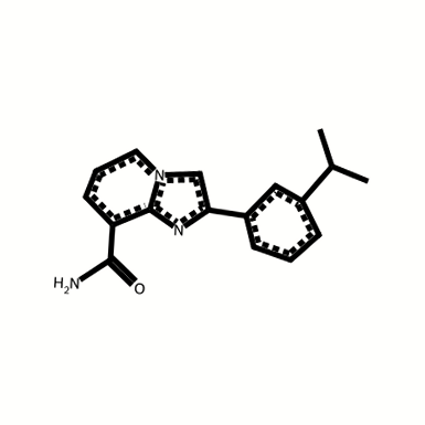 CC(C)c1cccc(-c2cn3cccc(C(N)=O)c3n2)c1